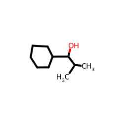 CC(C)C(O)C1CCCCC1